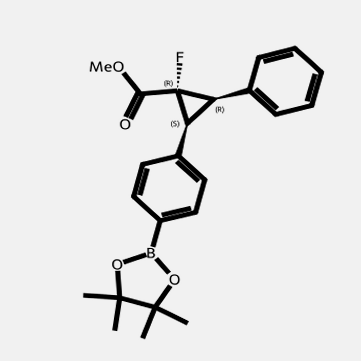 COC(=O)[C@]1(F)[C@H](c2ccc(B3OC(C)(C)C(C)(C)O3)cc2)[C@@H]1c1ccccc1